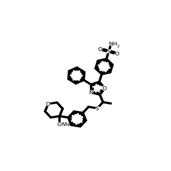 COC1(c2cccc(CSC(C)c3nc(-c4ccccc4)c(-c4ccc(S(N)(=O)=O)cc4)o3)c2)CCOCC1